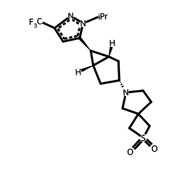 CC(C)n1nc(C(F)(F)F)cc1[C@H]1[C@@H]2C[C@H](N3CCC4(C3)CS(=O)(=O)C4)C[C@@H]21